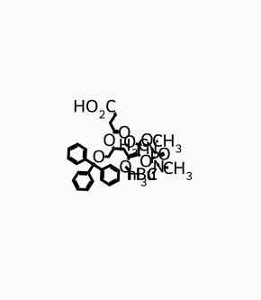 CCCCOC1=C(OP(=O)(N(C)C)N(C)C)C(=O)OC1C(COC(c1ccccc1)(c1ccccc1)c1ccccc1)OC(=O)CCC(=O)O